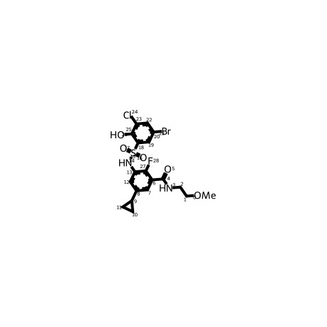 COCCNC(=O)c1cc(C2CC2)cc(NS(=O)(=O)c2cc(Br)cc(Cl)c2O)c1F